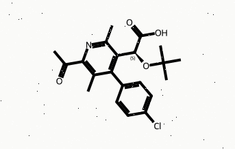 CC(=O)c1nc(C)c([C@H](OC(C)(C)C)C(=O)O)c(-c2ccc(Cl)cc2)c1C